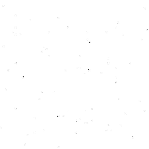 CCOCC1(CCc2ccccc2)CCN(c2ccc(N)cc2)CC1